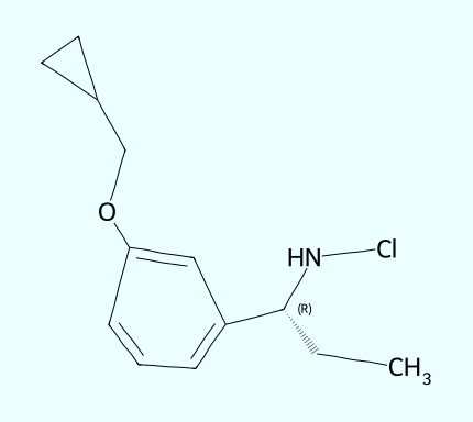 CC[C@@H](NCl)c1cccc(OCC2CC2)c1